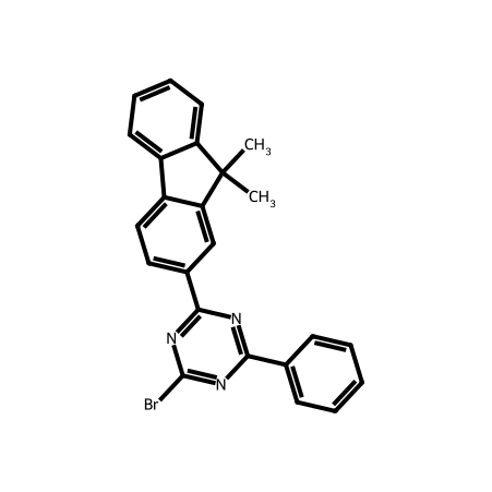 CC1(C)c2ccccc2-c2ccc(-c3nc(Br)nc(-c4ccccc4)n3)cc21